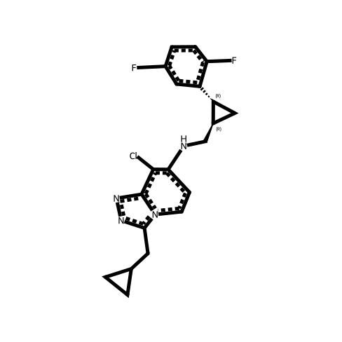 Fc1ccc(F)c([C@@H]2C[C@H]2CNc2ccn3c(CC4CC4)nnc3c2Cl)c1